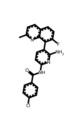 Cc1ccc2ccc(F)c(-c3ccc(NC(=O)c4ccc(Cl)cc4)nc3N)c2n1